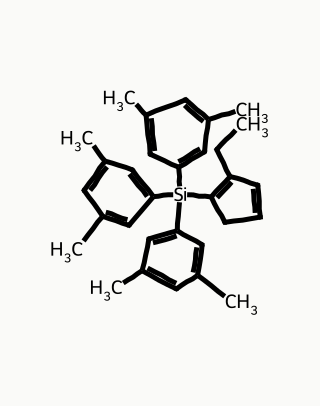 CCC1=C([Si](c2cc(C)cc(C)c2)(c2cc(C)cc(C)c2)c2cc(C)cc(C)c2)CC=C1